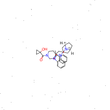 Cc1nc2ccccc2n1C1C[C@H]2CC[C@@H](C1)N2CCC1(c2ccccc2)CCN(C(=O)C2(O)CC2)CC1